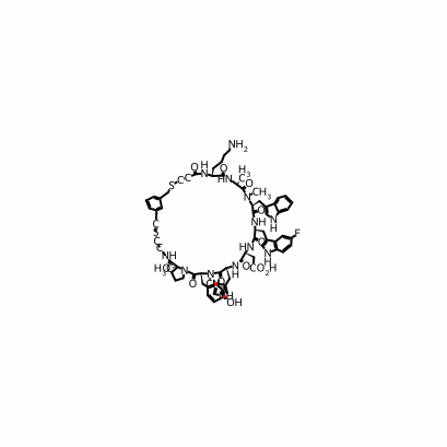 C[C@H]1NC(=O)[C@H](CCCCN)NC(=O)CCSCc2cccc(c2)CSCCNC(=O)[C@]2(C)CCCN2C(=O)[C@H](Cc2ccc(O)cc2)N(C)C(=O)[C@H](Cc2c[nH]cn2)NC(=O)[C@H](CC(=O)O)NC(=O)[C@H](Cc2c[nH]c3ccc(F)cc23)NC(=O)[C@H](Cc2c[nH]c3ccccc23)N(C)C1=O